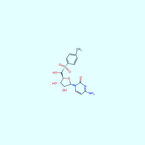 Cc1ccc(S(=O)(=O)C(O)[C@H]2O[C@@H](n3ccc(N)nc3=O)[C@H](O)[C@@H]2O)cc1